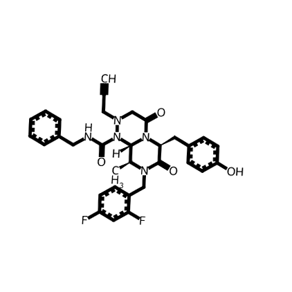 C#CCN1CC(=O)N2[C@@H](Cc3ccc(O)cc3)C(=O)N(Cc3ccc(F)cc3F)[C@@H](C)[C@@H]2N1C(=O)NCc1ccccc1